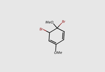 COC1=CC(Br)C(Br)(OC)C=C1